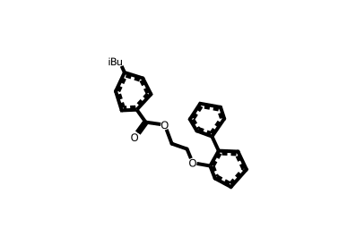 CCC(C)c1ccc(C(=O)OCCOc2ccccc2-c2ccccc2)cc1